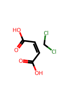 ClCCl.O=C(O)/C=C\C(=O)O